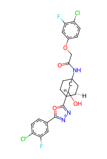 O=C(COc1ccc(Cl)c(F)c1)NC12CCC(c3nnc(-c4ccc(Cl)c(F)c4)o3)(CC1)[C@H](O)C2